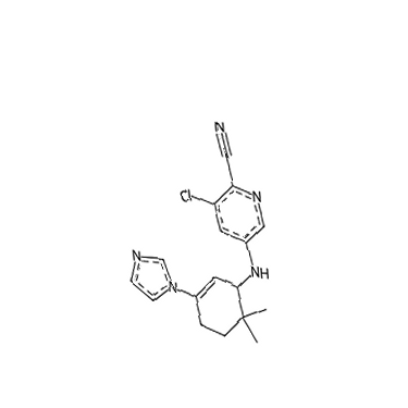 CC1(C)CCC(n2ccnc2)=CC1Nc1cnc(C#N)c(Cl)c1